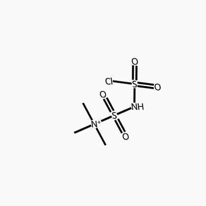 C[N+](C)(C)S(=O)(=O)NS(=O)(=O)Cl